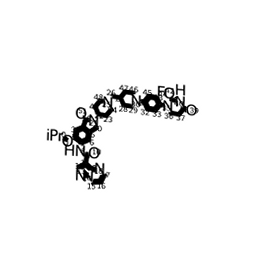 CC(C)Oc1cc2c(cc1NC(=O)c1cnn3cccnc13)CN(C1CCN(CC3CCN(c4ccc(N5CCC(=O)NC5=O)c(F)c4)CC3)CC1)C2=O